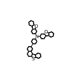 c1ccc2c(c1)oc1cc(N(c3ccc(-c4ccc5ccc6sc7ccccc7c6c5c4)cc3)c3ccc4c(c3)oc3ccccc34)ccc12